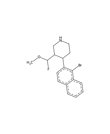 COC(F)C1CNCCC1c1ccc2ccccc2c1Br